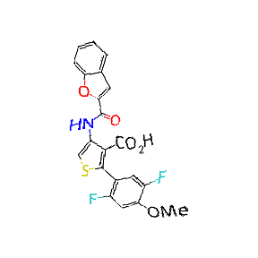 COc1cc(F)c(-c2scc(NC(=O)c3cc4ccccc4o3)c2C(=O)O)cc1F